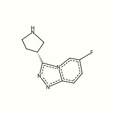 Fc1ccc2nnc([C@@H]3CCNC3)n2c1